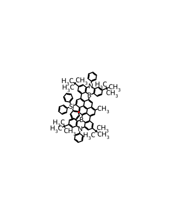 Cc1cc2c3c(cc4c([Si](c5ccccc5)(c5ccccc5)c5ccccc5)cc5c6c(cc1c3c46)B1c3ccc(C(C)(C)C)cc3N(c3ccccc3)c3cc(C(C)(C)C)cc-5c31)B1c3ccc(C(C)(C)C)cc3N(c3ccccc3)c3cc(C(C)(C)C)cc-2c31